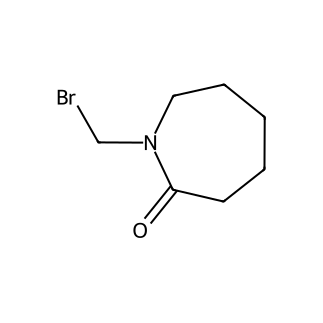 O=C1CCCCCN1CBr